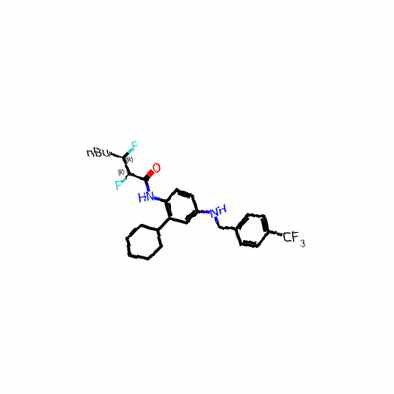 CCCC[C@@H](F)[C@H](F)C(=O)Nc1ccc(NCc2ccc(C(F)(F)F)cc2)cc1C1CCCCC1